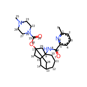 Cc1cccc(C(=O)NC23CCCC4CC2CC(OC(=O)N2CCN(C)CC2)(C4)C3)n1